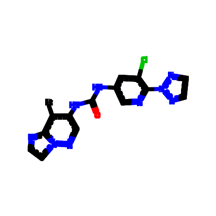 CCc1c(NC(=O)Nc2cnc(-n3nccn3)c(Cl)c2)cnn2ccnc12